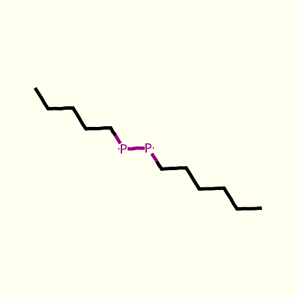 CCCCCC[P][P]CCCCC